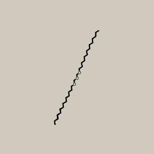 CCCCCCCCCCCCCCOCOCOCCCCCCCCCCCCCC